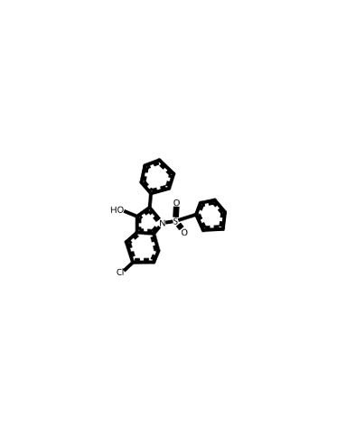 O=S(=O)(c1ccccc1)n1c(-c2ccccc2)c(O)c2cc(Cl)ccc21